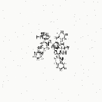 CC(C)[C@H](NC(=O)c1ccc2ccccc2n1)C(=O)N[C@@H](Cc1ccccc1)[C@H](O)CN1CC[C@@H](Sc2ncccn2)CC1C(=O)NC(C)(C)C